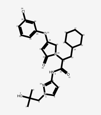 CC(C)(O)Cn1ccc(NC(=O)C(CC2CCCCC2)N2CC(Oc3cccc(Cl)c3)=CC2=O)n1